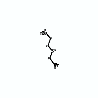 CCCCCCSCC(C)C